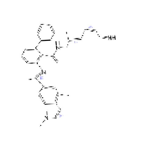 C=C(NC/C(C)=C/C=C\C=N)c1c(/N=C(\C)c2ccc(/C=C\NC)c(C)c2)cccc1-c1ccccc1